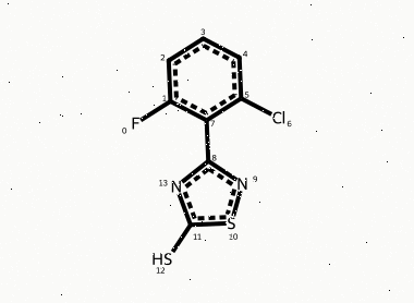 Fc1cccc(Cl)c1-c1nsc(S)n1